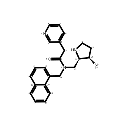 O=C(Cc1cccnc1)N(Cc1cccc2ccccc12)C[C@H]1NCC[C@H]1S